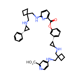 O=C(O)c1cc(NCC2(CNC3C[C@@H]3c3cccc(OC(=O)c4cccc(NCC5(CN[C@H]6C[C@@H]6c6ccccc6)CCC5)n4)c3)CCC2)ccn1